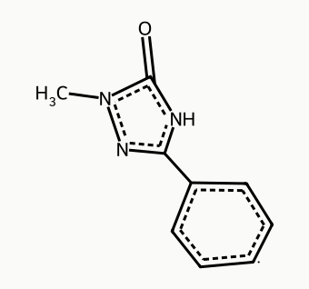 Cn1nc(-c2cc[c]cc2)[nH]c1=O